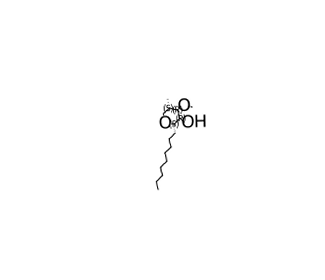 CCCCCCCCC[C@@H]1OC[C@H](C)[C@@H](OC)[C@@H]1O